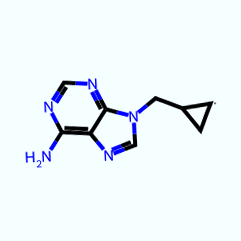 Nc1ncnc2c1ncn2CC1[CH]C1